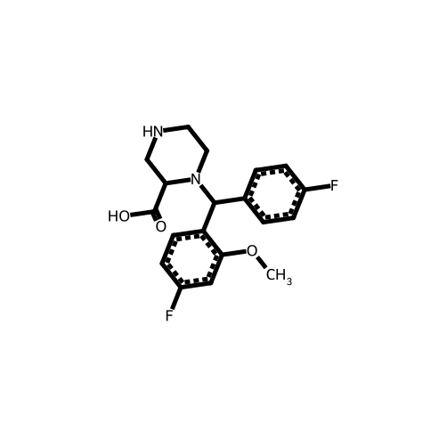 COc1cc(F)ccc1C(c1ccc(F)cc1)N1CCNCC1C(=O)O